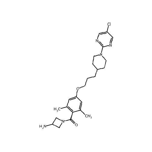 Cc1cc(OCCCC2CCN(c3ncc(Cl)cn3)CC2)cc(C)c1C(=O)N1CC(N)C1